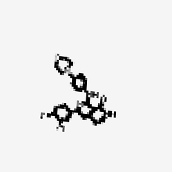 O=c1[nH]ccc2cc(-c3ccc(Cl)c(Cl)c3)nc(Nc3ccc(N4CCOCC4)cc3)c12